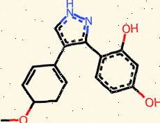 COC1C=CC(c2c[nH]nc2-c2ccc(O)cc2O)=CC1